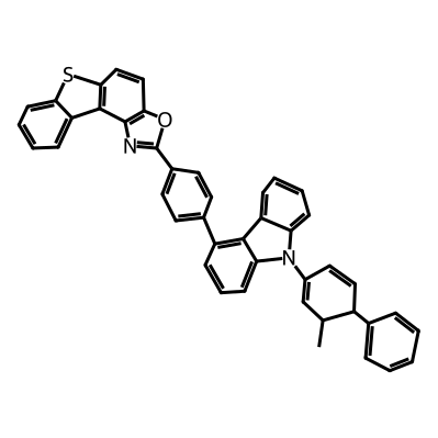 CC1C=C(n2c3ccccc3c3c(-c4ccc(-c5nc6c(ccc7sc8ccccc8c76)o5)cc4)cccc32)C=CC1c1ccccc1